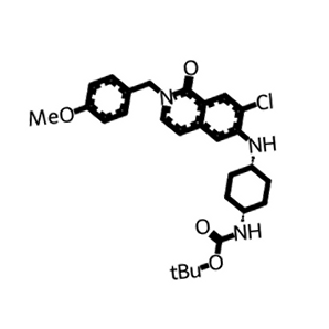 COc1ccc(Cn2ccc3cc(N[C@H]4CC[C@@H](NC(=O)OC(C)(C)C)CC4)c(Cl)cc3c2=O)cc1